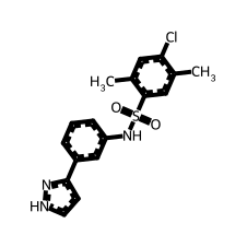 Cc1cc(S(=O)(=O)Nc2cccc(-c3cc[nH]n3)c2)c(C)cc1Cl